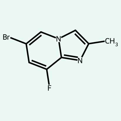 Cc1cn2cc(Br)cc(F)c2n1